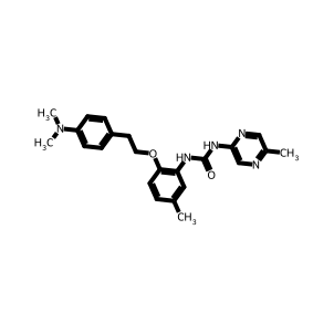 Cc1ccc(OCCc2ccc(N(C)C)cc2)c(NC(=O)Nc2cnc(C)cn2)c1